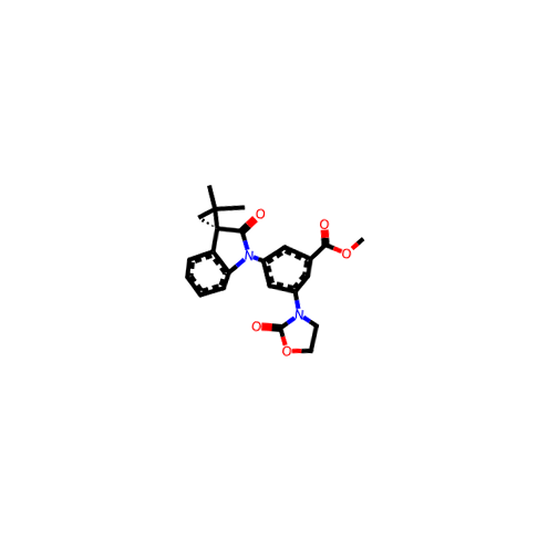 COC(=O)c1cc(N2CCOC2=O)cc(N2C(=O)[C@@]3(CC3(C)C)c3ccccc32)c1